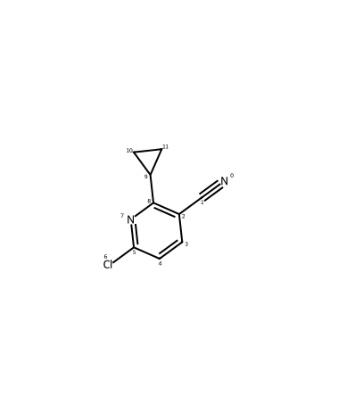 N#Cc1ccc(Cl)nc1C1CC1